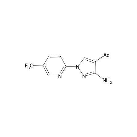 CC(=O)c1cn(-c2ccc(C(F)(F)F)cn2)nc1N